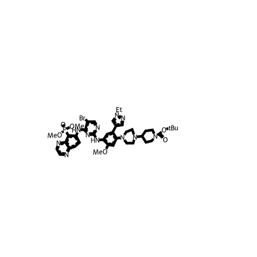 CCn1cc(-c2cc(Nc3ncc(Br)c(Nc4ccc5nccnc5c4P(=O)(OC)OC)n3)c(OC)cc2N2CCN(C3CCN(C(=O)OC(C)(C)C)CC3)CC2)cn1